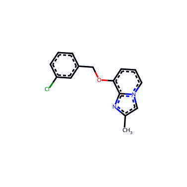 Cc1cn2cccc(OCc3cccc(Cl)c3)c2n1